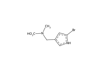 CN(Cc1c[nH]c(Br)c1)C(=O)O